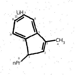 CCC[C]1C=C(C)c2ccccc21.[LiH]